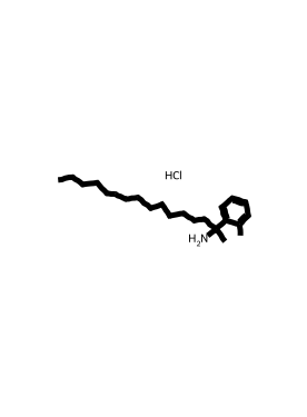 CCCCCCCCCCCCCCC(C)(N)c1ccccc1C.Cl